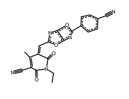 CCN1C(=O)C(C#N)=C(C)/C(=C/c2nc3oc(-c4ccc(C#N)cc4)nc3o2)C1=O